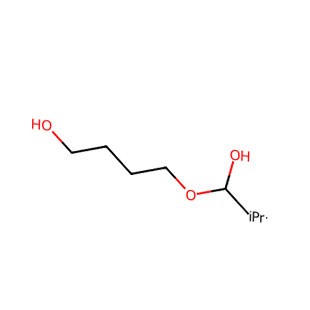 C[C](C)C(O)OCCCCO